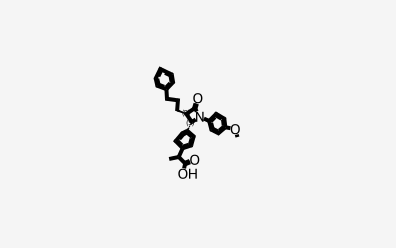 COc1ccc(N2C(=O)[C@H](CCCc3ccccc3)[C@H]2c2ccc(C(C)C(=O)O)cc2)cc1